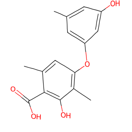 Cc1cc(O)cc(Oc2cc(C)c(C(=O)O)c(O)c2C)c1